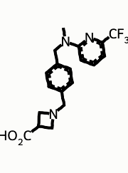 CN(Cc1ccc(CN2CC(C(=O)O)C2)cc1)c1cccc(C(F)(F)F)n1